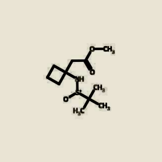 COC(=O)CC1(N[S+]([O-])C(C)(C)C)CCC1